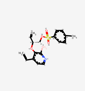 Bc1nccc(C=C)c1O[C@H](C=C)COS(=O)(=O)c1ccc(C)cc1